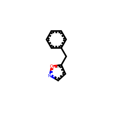 [c]1cc(Cc2ccccc2)on1